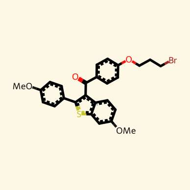 COc1ccc(-c2sc3cc(OC)ccc3c2C(=O)c2ccc(OCCCBr)cc2)cc1